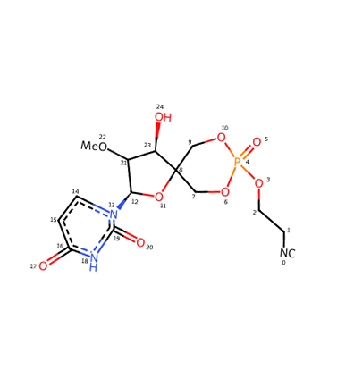 [C-]#[N+]CCOP1(=O)OCC2(CO1)O[C@@H](n1ccc(=O)[nH]c1=O)C(OC)[C@H]2O